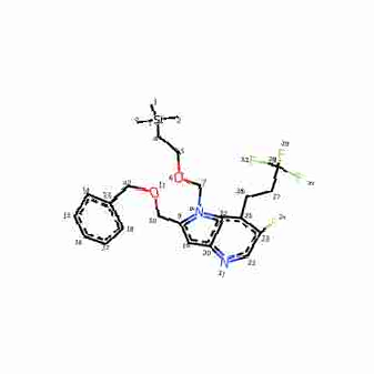 C[Si](C)(C)CCOCn1c(COCc2ccccc2)cc2ncc(F)c(CCC(F)(F)F)c21